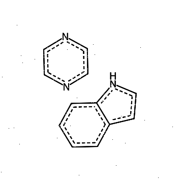 c1ccc2[nH]ccc2c1.c1cnccn1